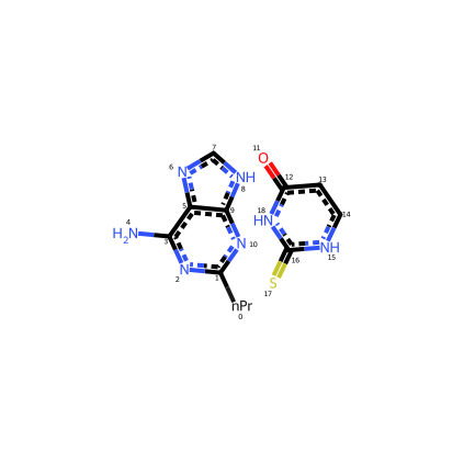 CCCc1nc(N)c2nc[nH]c2n1.O=c1cc[nH]c(=S)[nH]1